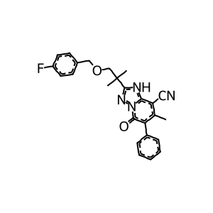 Cc1c(-c2ccccc2)c(=O)n2nc(C(C)(C)COCc3ccc(F)cc3)[nH]c2c1C#N